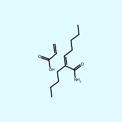 C=CC(=O)O.CCCCC=C(CCCC)C(N)=O